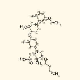 CCCCO[C@H]1CN(c2ccc(OC3CCN(c4cc(OCC)ccc4F)CC3C)c(F)c2)[C@@H](CC(=O)O)[C@@H]1C